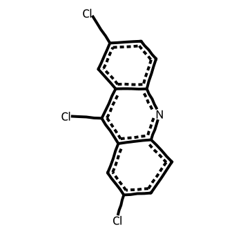 Clc1ccc2nc3ccc(Cl)cc3c(Cl)c2c1